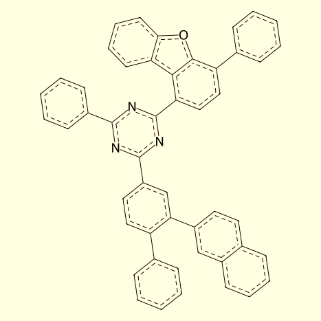 c1ccc(-c2nc(-c3ccc(-c4ccccc4)c(-c4ccc5ccccc5c4)c3)nc(-c3ccc(-c4ccccc4)c4oc5ccccc5c34)n2)cc1